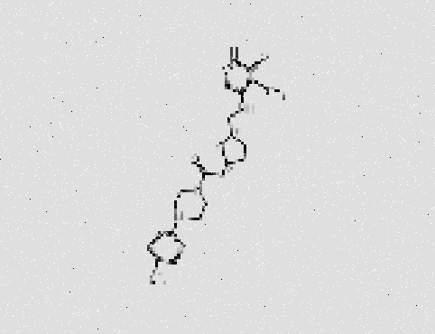 Cc1c(NC[C@H]2CC[C@@H](CC(=O)N3CCN(c4ccc(C(F)(F)F)cn4)CC3)O2)cn[nH]c1=O